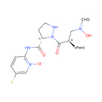 CCCCC[C@H](CN(O)C=O)C(=O)N1NCC[C@H]1C(=O)Nc1ccc(F)c[n+]1[O-]